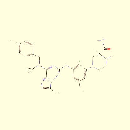 COc1ccc(CN(c2nc(Nc3cc(C#N)cc(N4CCN(C(=O)O)C(C(=O)N(C)C)(C(C)(C)C)C4)c3Cl)nn3c(C#N)cnc23)C2CC2)cc1